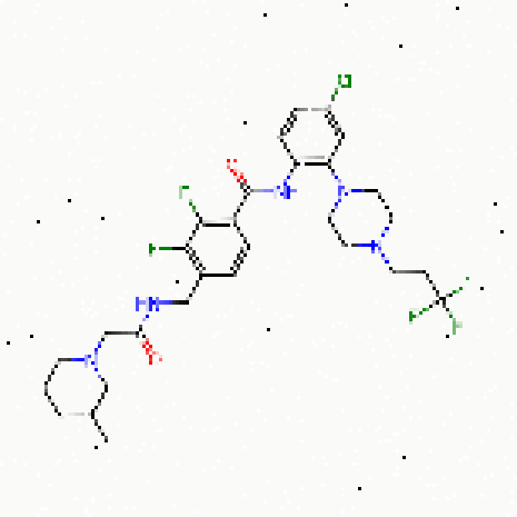 CC1CCCN(CC(=O)NCc2ccc(C(=O)Nc3ccc(Cl)cc3N3CCN(CCC(F)(F)F)CC3)c(F)c2F)C1